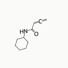 C=C=CC(=O)NC1CCCCC1